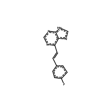 Fc1ccc(C=Cc2ncnc3[nH]cnc23)cc1